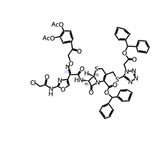 CC(=O)Oc1ccc(C(=O)CO/N=C(\C(=O)N[C@@H]2C(=O)N3C(C(=O)OC(c4ccccc4)c4ccccc4)=C(CSc4nnnn4CC(=O)OC(c4ccccc4)c4ccccc4)CS[C@@H]23)c2coc(NC(=O)CCl)n2)cc1OC(C)=O